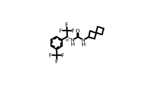 O=C(NC1CC2(CCC2)C1)N[C@H](c1cccc(C(F)(F)F)c1)C(F)(F)F